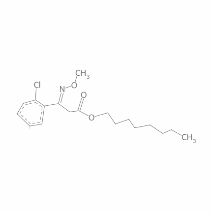 CCCCCCCCOC(=O)CC(=NOC)c1c[c]ccc1Cl